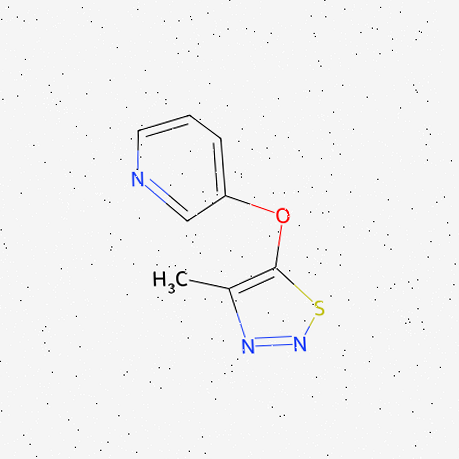 Cc1nnsc1Oc1cccnc1